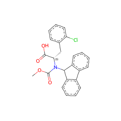 COC(=O)N(C1c2ccccc2-c2ccccc21)[C@@H](Cc1ccccc1Cl)C(=O)O